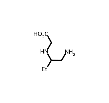 CCC(CN)NCC(=O)O